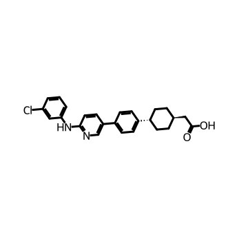 O=C(O)C[C@H]1CC[C@H](c2ccc(-c3ccc(Nc4cccc(Cl)c4)nc3)cc2)CC1